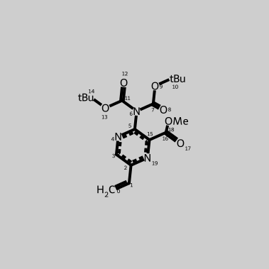 C=Cc1cnc(N(C(=O)OC(C)(C)C)C(=O)OC(C)(C)C)c(C(=O)OC)n1